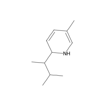 CC1=CNC(C(C)C(C)C)C=C1